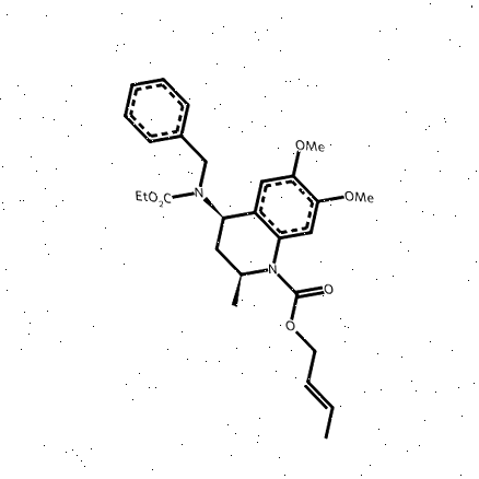 CC=CCOC(=O)N1c2cc(OC)c(OC)cc2[C@H](N(Cc2ccccc2)C(=O)OCC)C[C@@H]1C